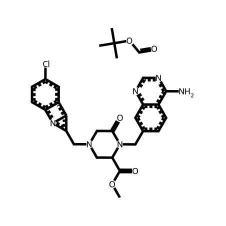 CC(C)(C)OC=O.COC(=O)C1CN(Cc2c3c4cc(Cl)ccc4n2-3)CC(=O)N1Cc1ccc2c(N)ncnc2c1